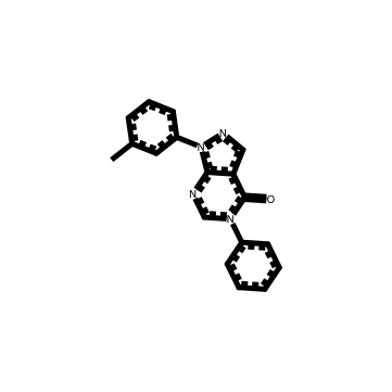 Cc1cccc(-n2ncc3c(=O)n(-c4ccccc4)cnc32)c1